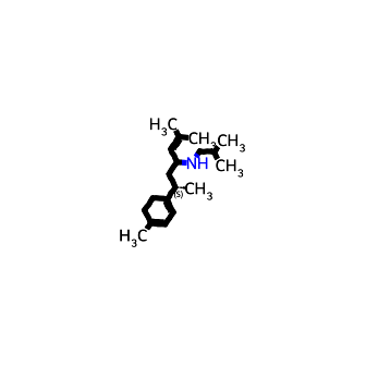 CC(C)=CC(C[C@H](C)C1=CC=C(C)CC1)NCC(C)C